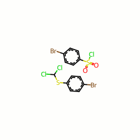 ClC(Cl)Sc1ccc(Br)cc1.O=S(=O)(Cl)c1ccc(Br)cc1